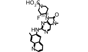 Cc1cc2ncccc2cc1Nc1ncc2c(n1)n([C@@H]1CCN(C(=O)O)C[C@@H]1F)c(=O)n2C